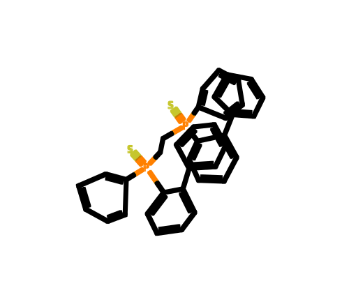 S=P(CCP(=S)(c1ccccc1)c1ccccc1-c1ccccc1)(c1ccccc1)c1ccccc1-c1ccccc1